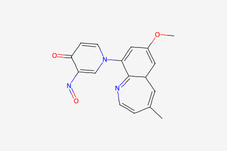 COC1=CC2C=C(C)C=CN=C2C(n2ccc(=O)c(N=O)c2)=C1